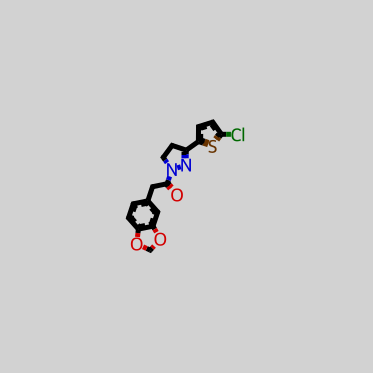 O=C(Cc1ccc2c(c1)OCO2)N1CCC(c2ccc(Cl)s2)=N1